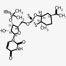 C=C(C)[C@H]1CC[C@@]2(C)SP(=S)(OC[C@H]3O[C@@H](n4ccc(=O)[nH]c4=O)[C@H](O)[C@@H]3O[Si](C)(C)C(C)(C)C)O[C@@H]2C1